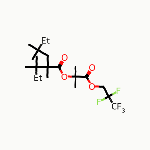 CCC(C)(C)CC(C)(C(=O)OC(C)(C)C(=O)OCC(F)(F)C(F)(F)F)C(C)(C)CC